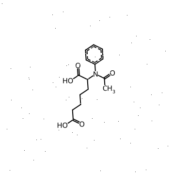 CC(=O)N(c1ccccc1)C(CCCCC(=O)O)C(=O)O